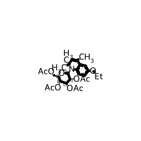 CCOc1ccc2c(c1)C(C)=CC(C)(C)N2[C@@H]1O[C@H](COC(C)=O)[C@@H](OC(C)=O)[C@H](OC(C)=O)[C@H]1OC(C)=O